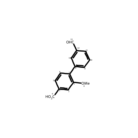 COc1cc(C(=O)O)ccc1-c1cccc(C=O)c1